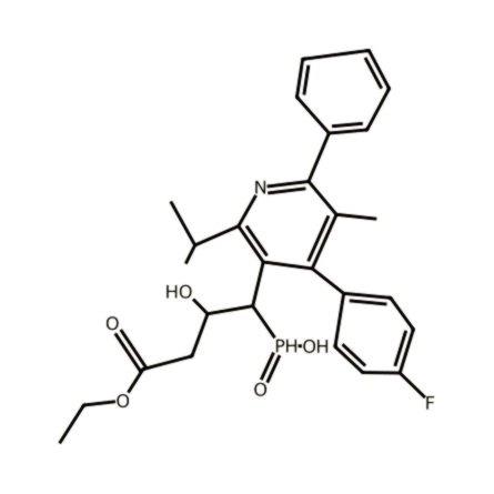 CCOC(=O)CC(O)C(c1c(C(C)C)nc(-c2ccccc2)c(C)c1-c1ccc(F)cc1)[PH](=O)O